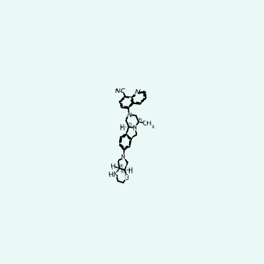 C[C@@H]1CN(c2ccc(C#N)c3ncccc23)C[C@@H]2c3ccc(N4C[C@H]5NCCO[C@@H]5C4)cc3CN12